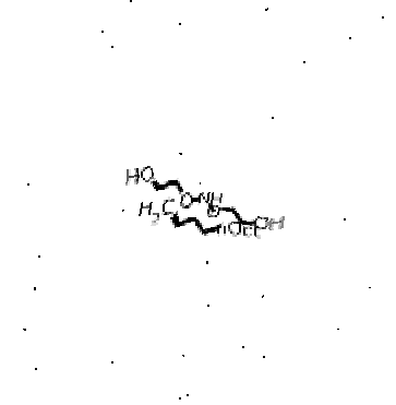 C=CCCCCCCCCCC.OCCONOCCO